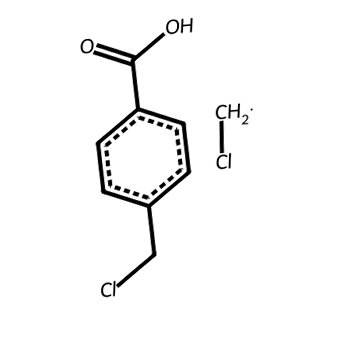 O=C(O)c1ccc(CCl)cc1.[CH2]Cl